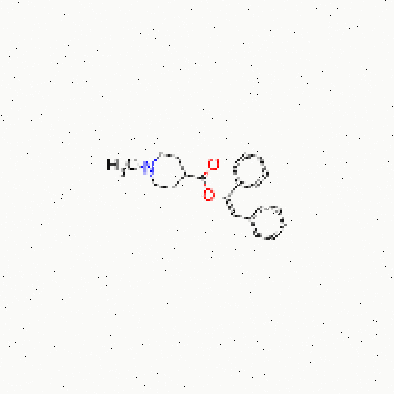 CN1CCC(C(=O)OC(=Cc2ccccc2)c2ccccc2)CC1